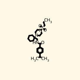 CCCS(=O)(=O)N1CCN(C2(CNC(=O)c3ccc(C(C)C)cc3)CCCCC2)CC1